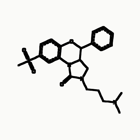 CN(C)CCCN1CC2C(c3ccccc3)Oc3ccc(S(C)(=O)=O)cc3N2C1=O